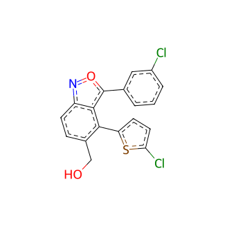 OCc1ccc2noc(-c3cccc(Cl)c3)c2c1-c1ccc(Cl)s1